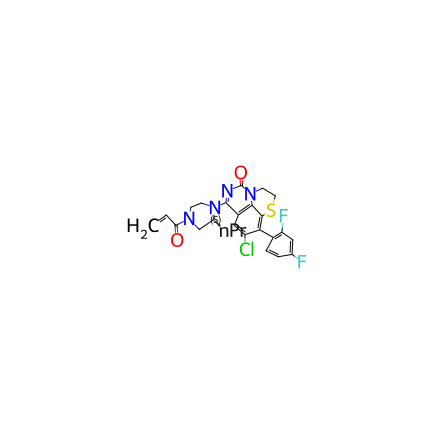 C=CC(=O)N1CCN(c2nc(=O)n3c4c(c(-c5ccc(F)cc5F)c(Cl)cc24)SCC3)[C@@H](CCC)C1